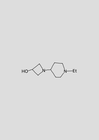 CCN1CCC(N2CC(O)C2)CC1